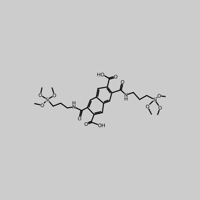 CO[Si](CCCNC(=O)c1cc2cc(C(=O)O)c(C(=O)NCCC[Si](OC)(OC)OC)cc2cc1C(=O)O)(OC)OC